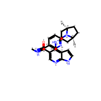 CNC(=O)c1cnc2[nH]ccc2c1N[C@@H]1C[C@H]2CC[C@@H](C1)N2c1ccc(C#N)cn1